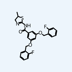 CC1CN=C(NC(=O)c2cc(OCc3ccccc3F)cc(OCc3ccccc3F)c2)S1